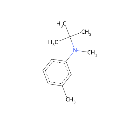 Cc1cccc(N(C)C(C)(C)C)c1